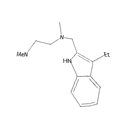 CCc1c(CN(C)CCNC)[nH]c2ccccc12